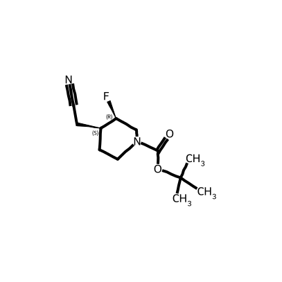 CC(C)(C)OC(=O)N1CC[C@@H](CC#N)[C@@H](F)C1